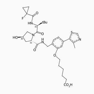 Cc1ncsc1-c1ccc(CNC(=O)[C@@H]2C[C@@H](O)CN2C(=O)[C@@H](NC(=O)C2(F)CC2)C(C)(C)C)c(OCCCCCC(=O)O)c1